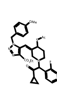 CCOC(=O)c1nnn(Cc2ccc(OC)cc2)c1C=C1CN(C(C(=O)C2CC2)c2ccccc2F)CCC1SC(C)=O